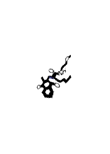 CCCC/C(=C\C1=C(C)C(=O)c2ccccc2C1=O)C(=O)NCCOC